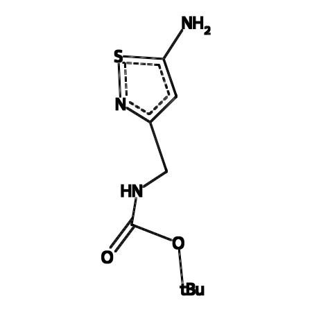 CC(C)(C)OC(=O)NCc1cc(N)sn1